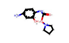 Nc1ccc(NC(=O)ON2CCCC2)c(O)c1